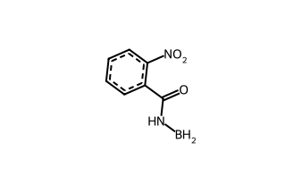 BNC(=O)c1ccccc1[N+](=O)[O-]